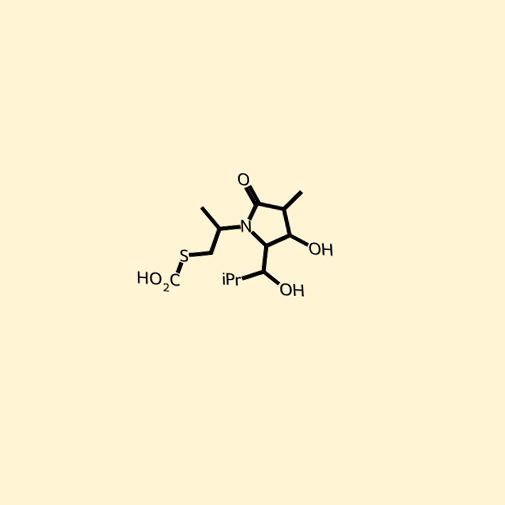 CC(C)C(O)C1C(O)C(C)C(=O)N1C(C)CSC(=O)O